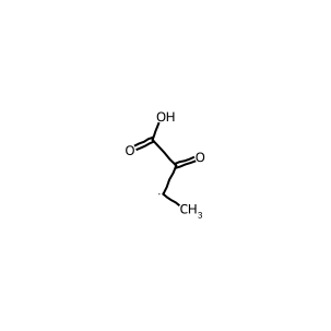 C[CH]C(=O)C(=O)O